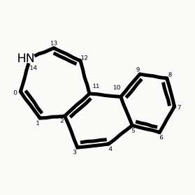 C1=Cc2ccc3ccccc3c2C=CN1